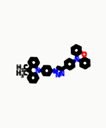 CC1(C)c2ccccc2N(c2ccc(-n3cc(-c4ccc(N5c6ccccc6Oc6ccccc65)cc4)nn3)cc2)c2ccccc21